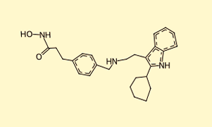 O=C(CCc1ccc(CNCCc2c(C3CCCCC3)[nH]c3ccccc23)cc1)NO